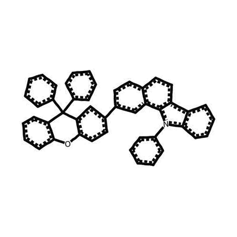 c1ccc(-n2c3ccccc3c3ccc4ccc(-c5ccc6c(c5)C(c5ccccc5)(c5ccccc5)c5ccccc5O6)cc4c32)cc1